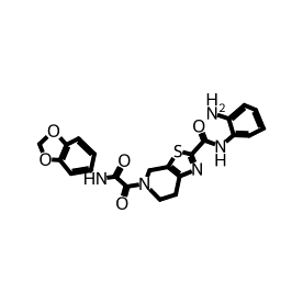 Nc1ccccc1NC(=O)c1nc2c(s1)CN(C(=O)C(=O)Nc1ccc3c(c1)OCO3)CC2